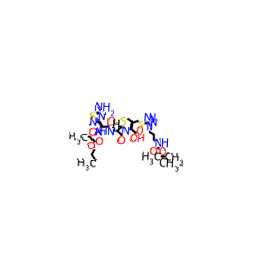 CCCCOC(=O)C(C)ON=C(C(=O)NC1C(=O)N2C(C(=O)O)=C(CSc3nnnn3CCCNC(=O)OC(C)(C)C)CS[C@@H]12)c1nsc(N)n1